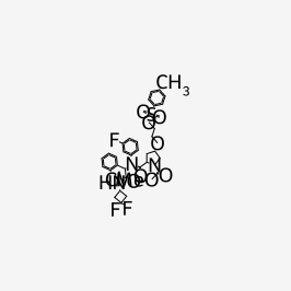 COC(=O)N1CC(OCCOS(=O)(=O)c2ccc(C)cc2)CC1C(=O)N(c1cccc(F)c1)[C@H](C(=O)NC1CC(F)(F)C1)c1ccccc1Cl